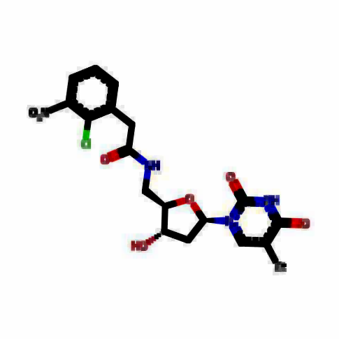 CCc1cn([C@H]2C[C@H](O)[C@@H](CNC(=O)Cc3cccc([N+](=O)[O-])c3Cl)O2)c(=O)[nH]c1=O